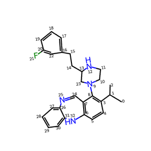 CC(C)c1ccc2c(c1N1CCNC(CCc3cccc(F)c3)C1)C=Nc1ccccc1N2